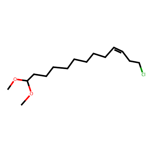 COC(CCCCCCCC/C=C\CCCl)OC